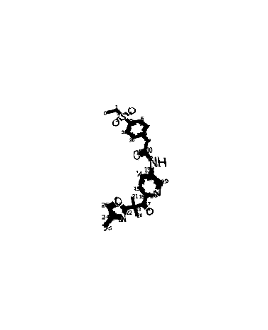 CCS(=O)(=O)c1ccc(CC(=O)Nc2ccc(C(=O)C(C)(C)c3nc(C)co3)nc2)cc1